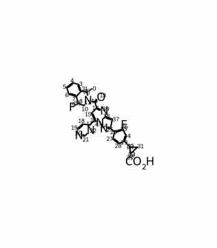 C[C@@H]1c2ccccc2[C@H](F)CN1C(=O)c1cc(-c2ccncn2)n2nc(-c3ccc([C@H]4C[C@@H]4C(=O)O)cc3F)cc2n1